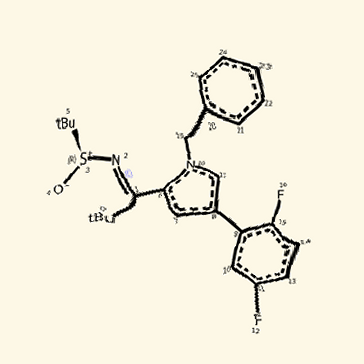 CC(C)(C)/C(=N\[S@@+]([O-])C(C)(C)C)c1cc(-c2cc(F)ccc2F)cn1Cc1ccccc1